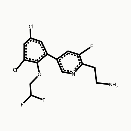 NCCc1ncc(-c2cc(Cl)cc(Cl)c2OCC(F)F)cc1F